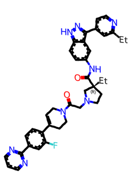 CCc1cc(-c2n[nH]c3ccc(NC(=O)[C@]4(CC)CCN(CC(=O)N5CC=C(c6ccc(-c7ncccn7)cc6F)CC5)C4)cc23)ccn1